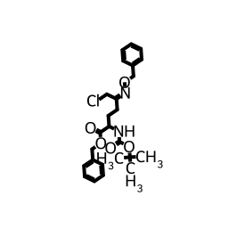 CC(C)(C)OC(=O)NC(CCC(CCl)=NOCc1ccccc1)C(=O)OCc1ccccc1